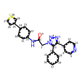 O=C(Cn1nnc(-c2ccncc2)c1-c1ccccc1)Nc1ccc(-c2ccsc2)cc1